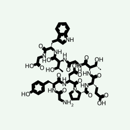 C[C@@H](O)[C@H](NC(=O)CNC(=O)[C@@H](NC(=O)[C@H](CCC(=O)O)NC(=O)[C@@H]1CCCN1C(=O)[C@H](CC(=O)O)NC(=O)[C@H](Cc1ccc(O)cc1)NC(=O)CN)[C@@H](C)O)C(=O)N[C@@H](Cc1c[nH]c2ccccc12)C(=O)NCC(=O)O